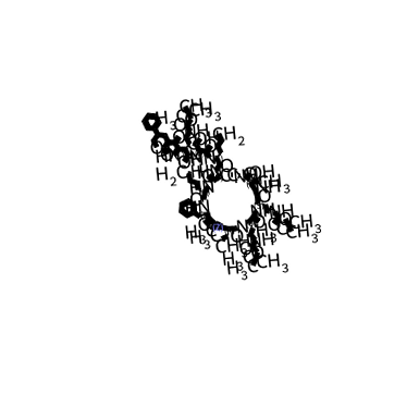 C=CCCC[C@@H]1NC(=O)[C@@H](NC(=O)[C@H](CCC=C)NC(=O)[C@@H](NC(=O)[C@H](CCNC(=O)OC(C)(C)C)C(=N)C(=O)C2CC(c3ccccc3)COC2=O)C(C)O)CCNC(=O)[C@H]([C@H](C)O)C(=N)C(=O)[C@H](CCNC(=O)OC(C)(C)C)NC(=O)[C@H](CCNC(=O)OC(C)(C)C)NC(=O)[C@H](CC(C)C)/C=C(/C)C(=O)[C@@H](Cc2ccccc2)NC1=O